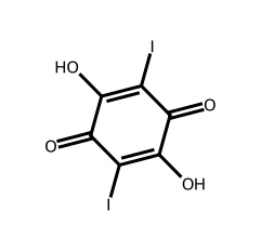 O=C1C(O)=C(I)C(=O)C(O)=C1I